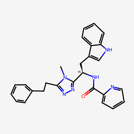 Cn1c(CCc2ccccc2)nnc1[C@@H](Cc1c[nH]c2ccccc12)NC(=O)c1ccccn1